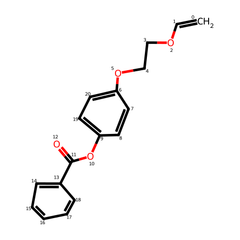 C=COCCOc1ccc(OC(=O)c2ccccc2)cc1